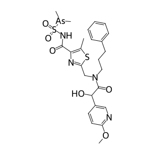 COc1ccc(C(O)C(=O)N(CCCc2ccccc2)Cc2nc(C(=O)NS(=O)(=O)[As](C)C)c(C)s2)cn1